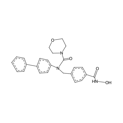 O=C(NO)c1ccc(CN(C(=O)N2CCOCC2)c2ccc(-c3ccccc3)cc2)cc1